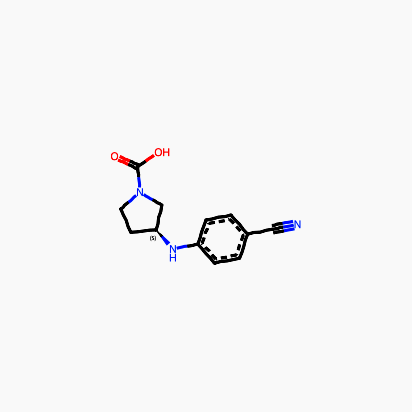 N#Cc1ccc(N[C@H]2CCN(C(=O)O)C2)cc1